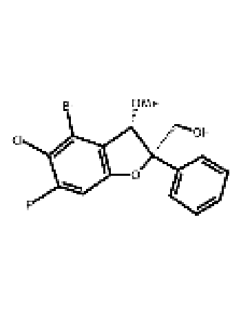 CO[C@H]1c2c(cc(F)c(Cl)c2Br)O[C@]1(CO)c1ccccc1